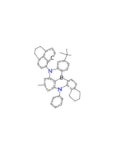 Cc1cc2c3c(c1)N(c1ccc4c5c(cccc15)CCC4)c1cc(C(C)(C)C)ccc1B3c1ccc3c(c1N2c1ccccc1)CCCC3